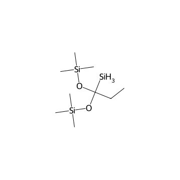 CCC([SiH3])(O[Si](C)(C)C)O[Si](C)(C)C